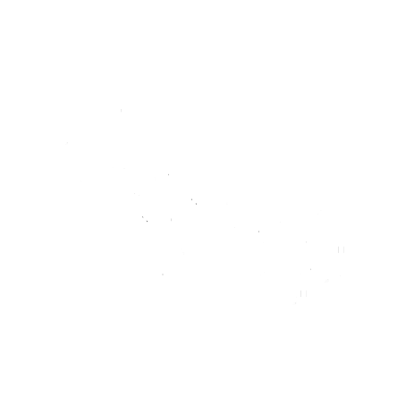 CC1(C)OB(c2cnc3c(ccn3S(=O)(=O)c3ccccc3)c2)OC1(C)C